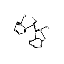 CC(=O)N=C(c1ccccc1Cl)c1c(C(F)(F)F)oc2ccccc12